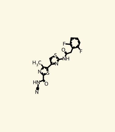 Cc1nc(C(=O)NC#N)sc1-c1csc(NC(=O)Cc2c(F)cccc2F)n1